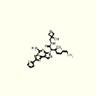 C=C(/C=C\C=C/C)[C@H](C(=O)NCC1(O)COC1)n1ncc2c1nc(N)n1nc(-c3ccco3)nc21